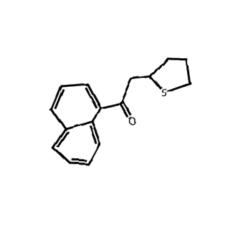 O=C(C[C]1CCCS1)c1cccc2ccccc12